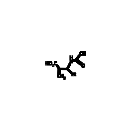 C=C(C(=O)O)C(CC)NC(=O)C#N